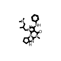 CC(CN(C)C)Cn1nc(Nc2ccccc2)c2c1N1C(=N[C@@H]3CCCC31)N(C)C2=O